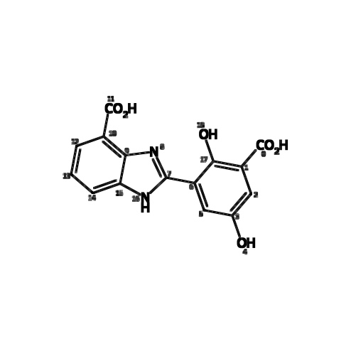 O=C(O)c1cc(O)cc(-c2nc3c(C(=O)O)cccc3[nH]2)c1O